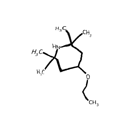 CCOC1CC(C)(C)NC(C)(C)C1